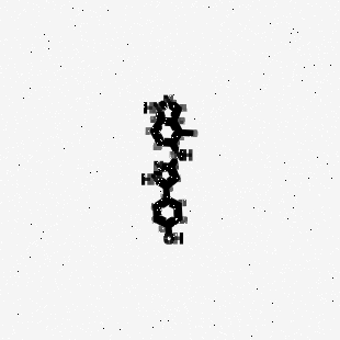 Cc1c(Nc2cc(-c3ccc(O)cc3)[nH]n2)ccc2[nH]ncc12